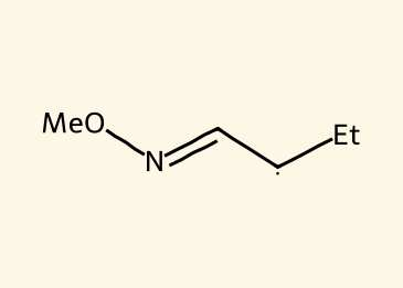 CC[CH]C=NOC